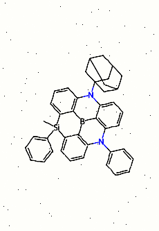 C[Si]1(c2ccccc2)c2cccc3c2B2c4c(cccc4N(C45CC6CC(CC(C6)C4)C5)c4cccc1c42)N3c1ccccc1